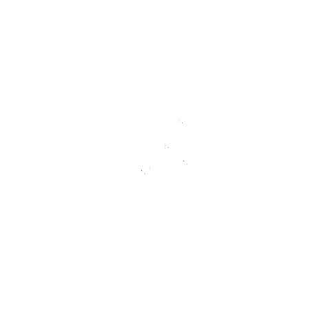 CCO/N=C(\C)c1nsc(N)n1